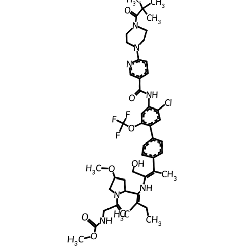 CC/C(C)=C(\N/C(CO)=C(\C)c1ccc(-c2cc(Cl)c(NC(=O)c3ccc(N4CCN(C(=O)C(C)(C)C)CC4)nc3)cc2OC(F)(F)F)cc1)C1CC(OC)CN1C(=O)CNC(=O)OC